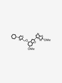 COc1cc(OCc2nc(-c3ccccc3)cs2)c2cc(-c3cnc4sc(OC)nn34)oc2c1